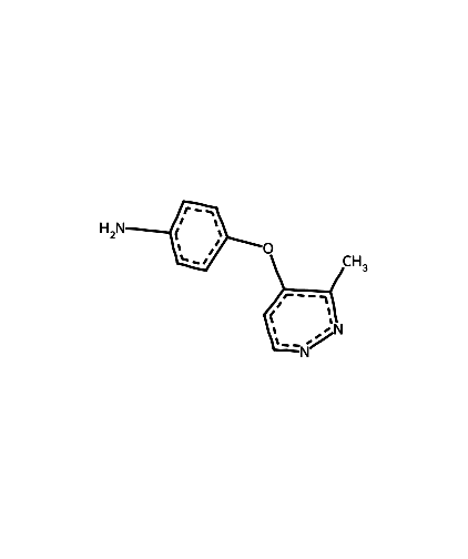 Cc1nnccc1Oc1ccc(N)cc1